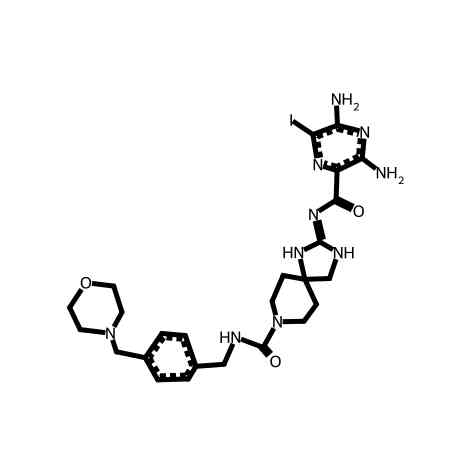 Nc1nc(N)c(C(=O)/N=C2\NCC3(CCN(C(=O)NCc4ccc(CN5CCOCC5)cc4)CC3)N2)nc1I